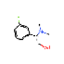 CN(C)[C@H](CO)c1cccc(F)c1